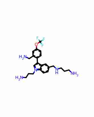 NCCCNCc1ccc2c(c1)c(-c1ccc(OC(F)(F)F)cc1CN)cn2CCCN